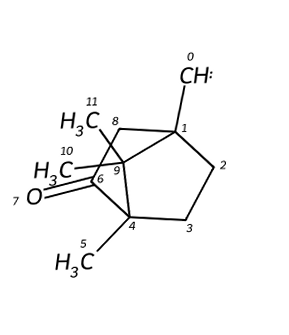 [CH]C12CCC(C)(C(=O)C1)C2(C)C